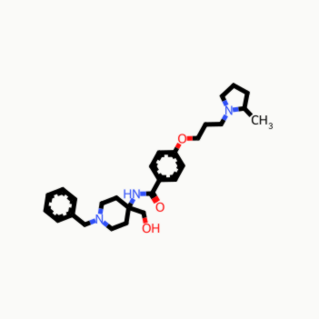 CC1CCCN1CCCOc1ccc(C(=O)NC2(CO)CCN(Cc3ccccc3)CC2)cc1